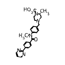 C[C@H]1CN(Cc2ccc(N(C)C(=O)c3ccc(-c4ncccn4)cc3)cc2)CCN1C(=O)O